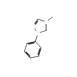 CN1C=NN(c2ccccc2)C1.I